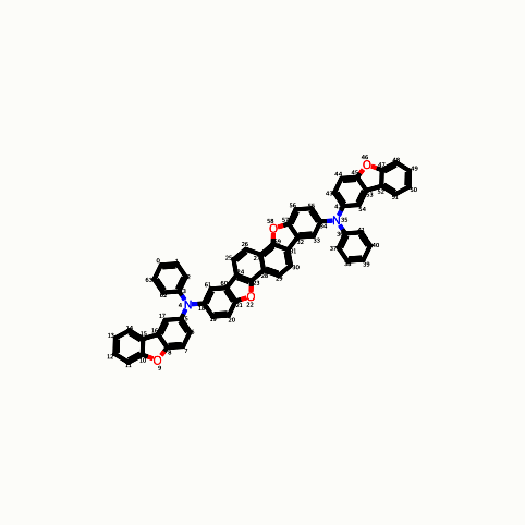 c1ccc(N(c2ccc3oc4ccccc4c3c2)c2ccc3oc4c(ccc5c4ccc4c6cc(N(c7ccccc7)c7ccc8oc9ccccc9c8c7)ccc6oc45)c3c2)cc1